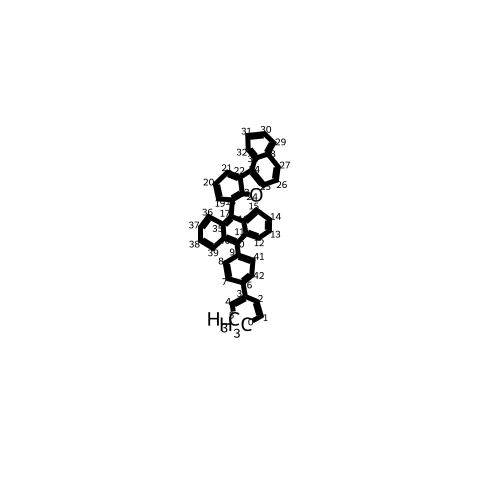 C/C=C\C(=C/C)c1ccc(-c2c3ccccc3c(-c3cccc4c3oc3ccc5ccccc5c34)c3ccccc23)cc1